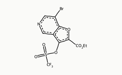 CCOC(=O)c1oc2c(Br)cncc2c1OS(=O)(=O)C(F)(F)F